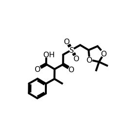 CC(c1ccccc1)C(C(=O)O)C(=O)CS(=O)(=O)CC1COC(C)(C)O1